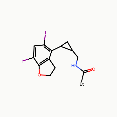 CCC(=O)NCC1CC1c1c(I)cc(I)c2c1CCO2